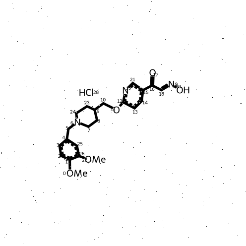 COc1ccc(CN2CCC(COc3ccc(C(=O)C=NO)cn3)CC2)cc1OC.Cl